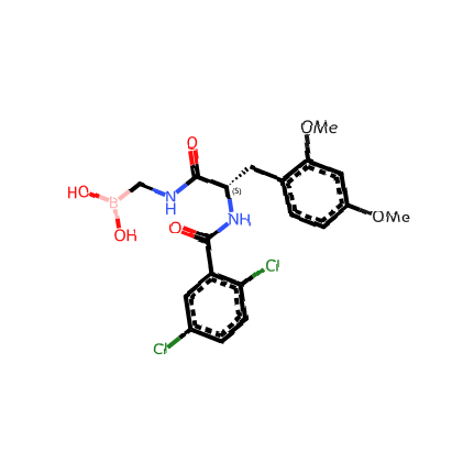 COc1ccc(C[C@H](NC(=O)c2cc(Cl)ccc2Cl)C(=O)NCB(O)O)c(OC)c1